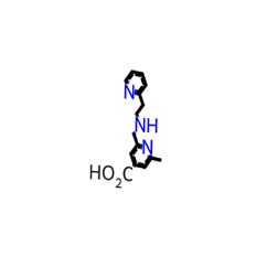 Cc1cc(C(=O)O)cc(CNCCc2ccccn2)n1